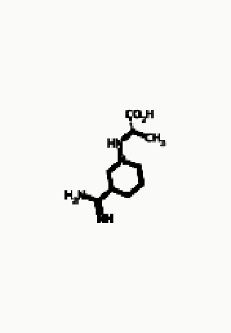 C[C@H](NN1CCCC(C(=N)N)C1)C(=O)O